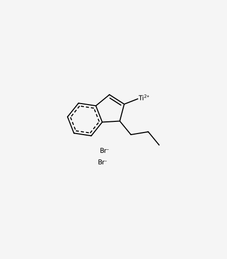 CCCC1[C]([Ti+2])=Cc2ccccc21.[Br-].[Br-]